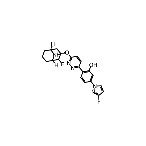 Oc1cc(-n2ccc(F)n2)ccc1-c1ccc(O[C@@H]2C[C@H]3CCC[C@H](N3)[C@@H]2F)nn1